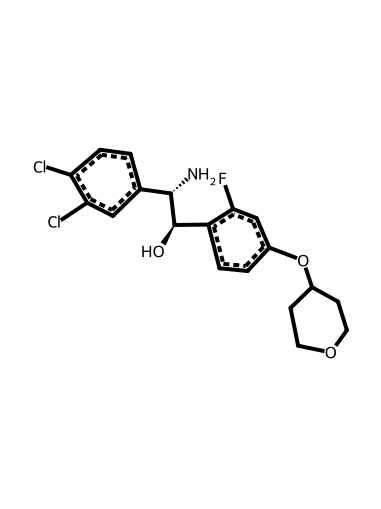 N[C@@H](c1ccc(Cl)c(Cl)c1)[C@H](O)c1ccc(OC2CCOCC2)cc1F